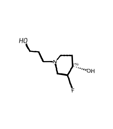 OCCCN1CC[C@H](O)C(F)C1